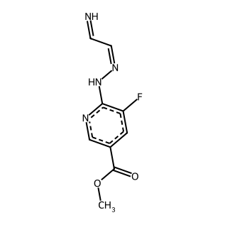 COC(=O)c1cnc(N/N=C\C=N)c(F)c1